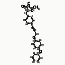 CO[C@@H](Cc1ccc(C#CCOc2ccc(Oc3ccccc3)cc2)cc1)C(C)=O